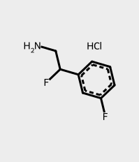 Cl.NCC(F)c1cccc(F)c1